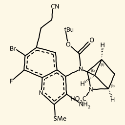 CSc1nc2c(F)c(Br)c(CCC#N)cc2c(N(C(=O)OC(C)(C)C)[C@H]2[C@@H]3C[C@H]2N(C(=O)O)C3)c1N